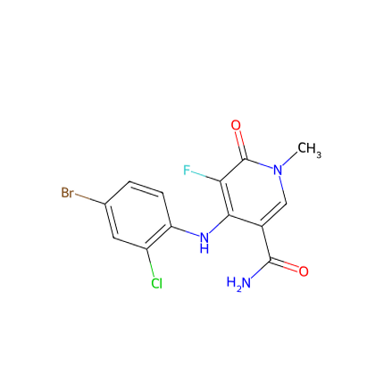 Cn1cc(C(N)=O)c(Nc2ccc(Br)cc2Cl)c(F)c1=O